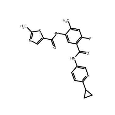 Cc1ncc(C(=O)Nc2cc(C(=O)Nc3ccc(C4CC4)nc3)c(F)cc2C)s1